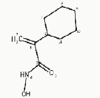 C=C(C(=O)NO)C1CCCCC1